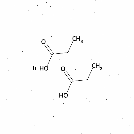 CCC(=O)O.CCC(=O)O.[Ti]